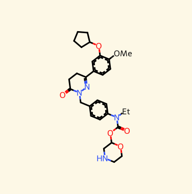 CCN(C(=O)OC1CNCCO1)c1ccc(CN2N=C(c3ccc(OC)c(OC4CCCC4)c3)CCC2=O)cc1